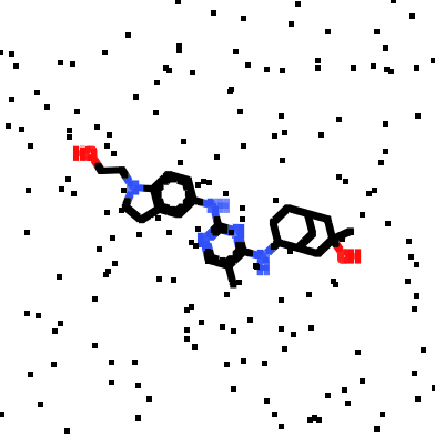 Cc1cnc(Nc2ccc3c(c2)CCN3CCO)nc1NC1CCC2CC1CC(C)(O)C2